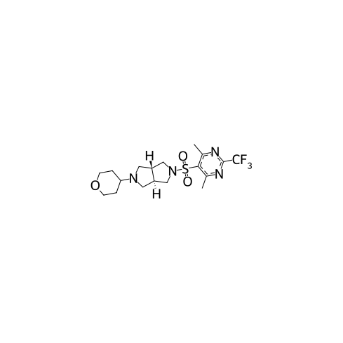 Cc1nc(C(F)(F)F)nc(C)c1S(=O)(=O)N1C[C@H]2CN(C3CCOCC3)C[C@@H]2C1